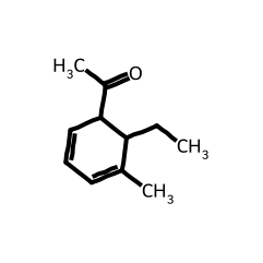 CCC1C(C)=CC=CC1C(C)=O